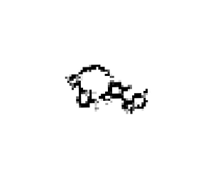 CN1CCn2ncc(-c3cc4c(cc3F)OCC/C=C\Cn3cnnc3C3C=CC=C(NC4=O)N3)c2C1